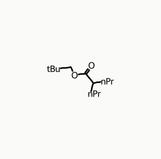 CCCC(CCC)C(=O)OCC(C)(C)C